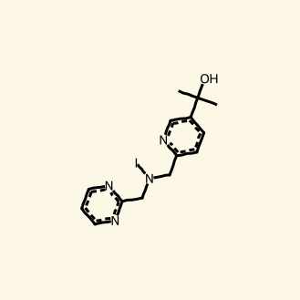 CC(C)(O)c1ccc(CN(I)Cc2ncccn2)nc1